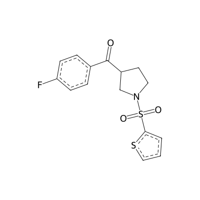 O=C(c1ccc(F)cc1)C1CCN(S(=O)(=O)c2cccs2)C1